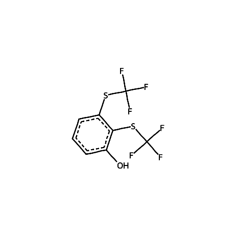 Oc1cccc(SC(F)(F)F)c1SC(F)(F)F